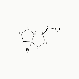 CC[C@]12CCCN1[C@@H](CO)CC2